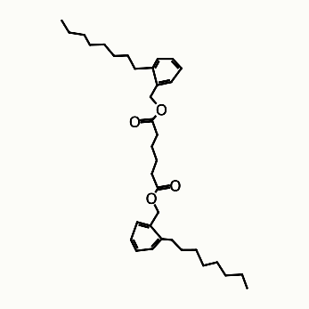 CCCCCCCCc1ccccc1COC(=O)CCCCC(=O)OCc1ccccc1CCCCCCCC